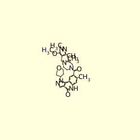 COc1c(CN2CCN(C(=O)c3cc4c(cc3C)[nH]c(=O)c3cnn(C5CCOCC5)c34)C[C@@H]2C)c(C)nn1C